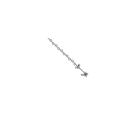 CCCOCCOCCOCCOCCOCCOCCOCCOCCOCCOCCC(=O)NCCCCCCOP(O)(=S)OC